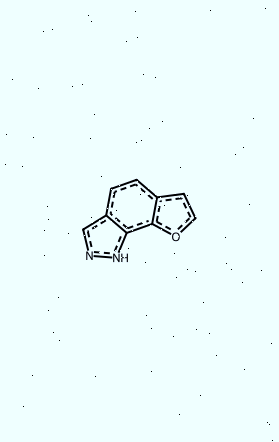 c1cc2ccc3cn[nH]c3c2o1